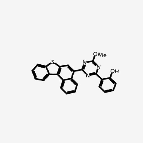 COc1nc(-c2ccccc2O)nc(-c2cc3sc4ccccc4c3c3ccccc23)n1